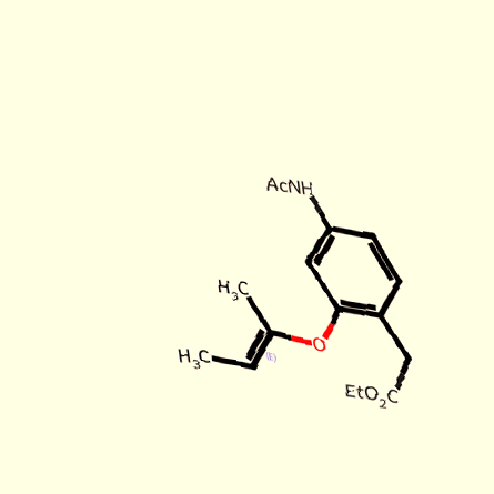 C/C=C(\C)Oc1cc(NC(C)=O)ccc1CC(=O)OCC